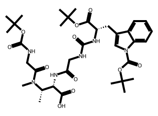 C[C@@H]([C@H](NC(=O)CNC(=O)N[C@@H](Cc1cn(C(=O)OC(C)(C)C)c2ccccc12)C(=O)OC(C)(C)C)C(=O)O)N(C)C(=O)CNC(=O)OC(C)(C)C